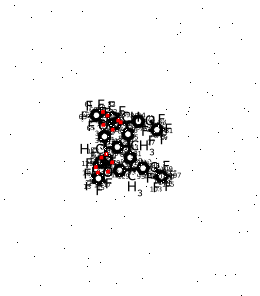 CC(c1ccc(Oc2c(F)c(F)c(F)c(F)c2F)cc1)(c1ccc(Oc2c(F)c(F)c(F)c(F)c2F)cc1)c1ccc(C(C)(c2ccc(C(C)(c3ccc(Oc4c(F)c(F)c(F)c(F)c4F)cc3)c3ccc(Oc4c(F)c(F)c(F)c(F)c4F)cc3)cc2)c2ccc(C(C)(c3ccc(Oc4c(F)c(F)c(F)c(F)c4F)cc3)c3ccc(Oc4c(F)c(F)c(F)c(F)c4F)cc3)cc2)cc1